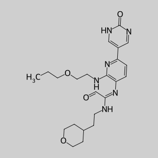 CCCOCCNc1nc(-c2cnc(=O)[nH]c2)ccc1/N=C(\C=O)NCCC1CCOCC1